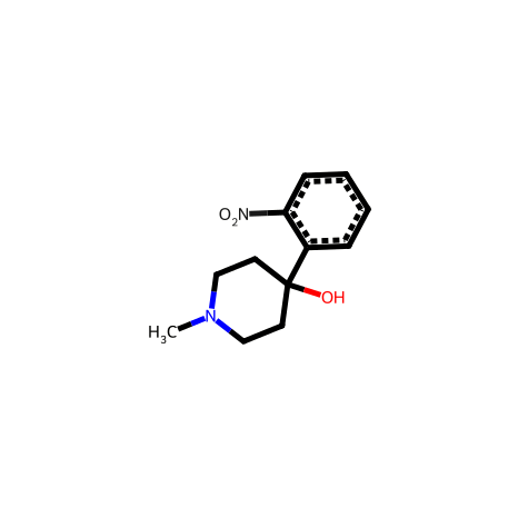 CN1CCC(O)(c2ccccc2[N+](=O)[O-])CC1